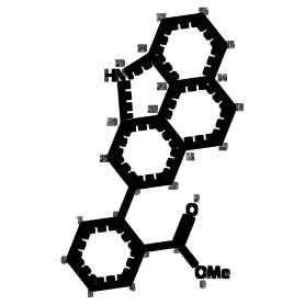 COC(=O)c1ccccc1-c1cc2ccc3cccc4[nH]c(c1)c2c34